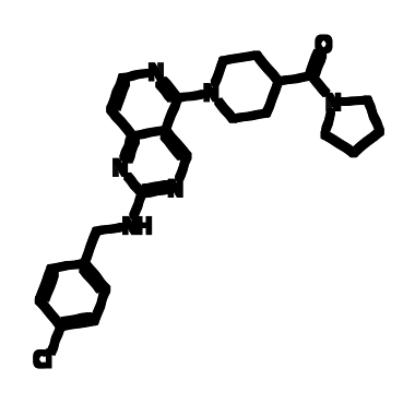 O=C(C1CCN(c2nccc3nc(NCc4ccc(Cl)cc4)ncc23)CC1)N1CCCC1